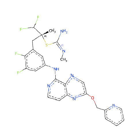 C/N=C(/N)S[C@](C)(Cc1cc(Nc2nccc3nc(OCc4ccccn4)cnc23)cc(F)c1F)C(F)F